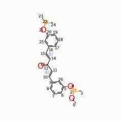 COP(C)Oc1cccc(/C=C/C(=O)/C=C/c2cccc(OP(C)C)c2)c1